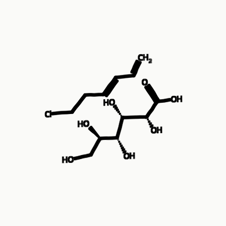 C=CC=CCCCl.O=C(O)[C@H](O)[C@@H](O)[C@H](O)[C@H](O)CO